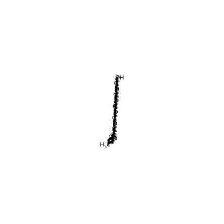 Cc1ccc(S(=O)(=O)OCCOCCOCCOCCOCCOCCOCCOCCOCCOCCO)cc1